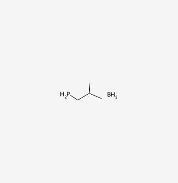 B.CC(C)CP